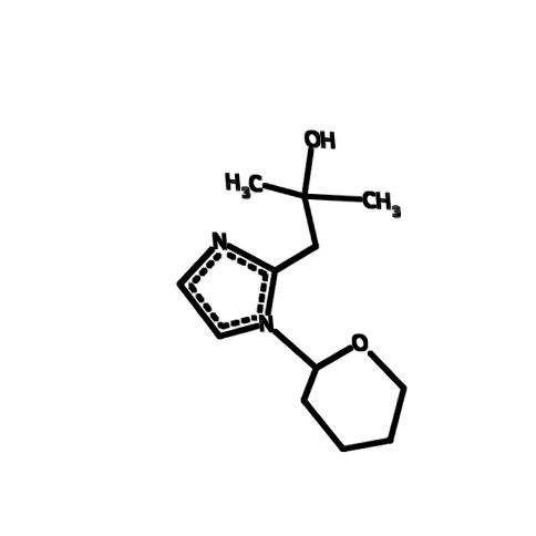 CC(C)(O)Cc1nccn1C1CCCCO1